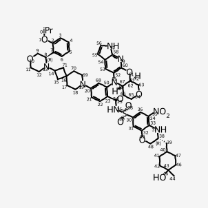 CC(C)Oc1ccccc1[C@@H]1COCCN1C1CC2(CCN(c3ccc(C(=O)NS(=O)(=O)c4cc5c(c([N+](=O)[O-])c4)N[C@H](CC4CCC(C)(O)CC4)CO5)c(N4c5cc6cc[nH]c6nc5O[C@H]5COCC[C@@H]54)c3)CC2)C1